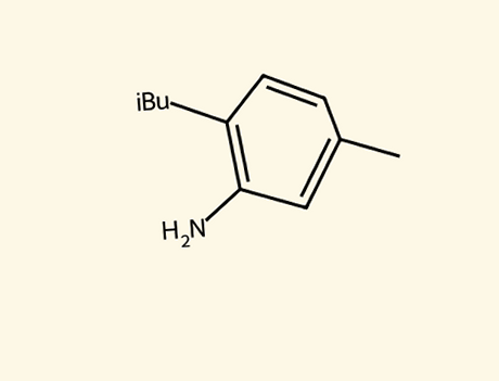 CCC(C)c1ccc(C)cc1N